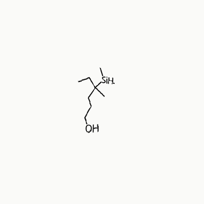 CCC(C)(CCCO)[SiH](C)C